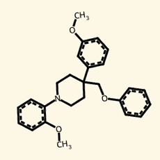 COc1cccc(C2(COc3ccccc3)CCN(c3ccccc3OC)CC2)c1